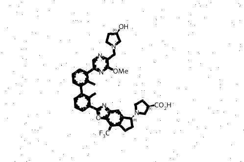 COc1nc(-c2cccc(-c3cccc(-c4nc5cc6c(c(C(F)(F)F)c5o4)CC[C@H]6N4CC[C@@H](C(=O)O)C4)c3C)c2C)cnc1CN1CC[C@@H](O)C1